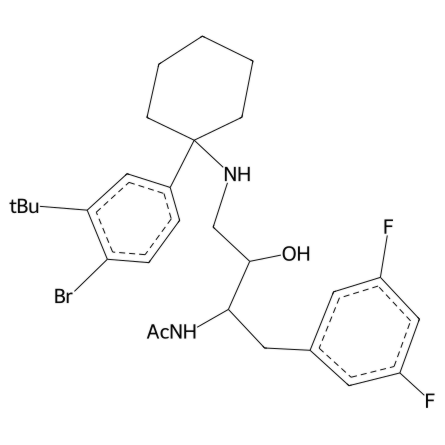 CC(=O)NC(Cc1cc(F)cc(F)c1)C(O)CNC1(c2ccc(Br)c(C(C)(C)C)c2)CCCCC1